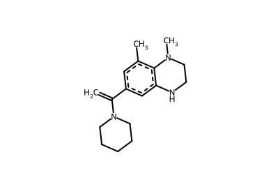 C=C(c1cc(C)c2c(c1)NCCN2C)N1CCCCC1